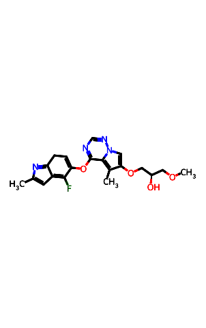 COC[C@@H](O)COc1cn2ncnc(OC3=CCC4=NC(C)=CC4=C3F)c2c1C